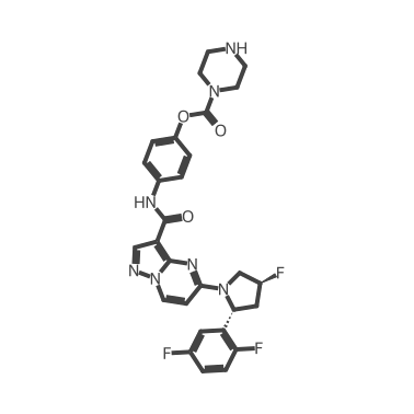 O=C(Nc1ccc(OC(=O)N2CCNCC2)cc1)c1cnn2ccc(N3C[C@@H](F)C[C@@H]3c3cc(F)ccc3F)nc12